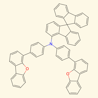 c1ccc2c(c1)-c1ccccc1C21c2ccccc2-c2c(N(c3ccc(-c4cccc5c4oc4ccccc45)cc3)c3ccc(-c4cccc5c4oc4ccccc45)cc3)cccc21